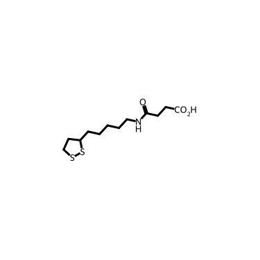 O=C(O)CCC(=O)NCCCCCC1CCSS1